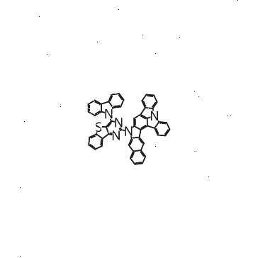 c1ccc2cc3c(cc2c1)c1c2c4ccccc4n4c5ccccc5c(cc1n3-c1nc(-n3c5ccccc5c5ccccc53)c3sc5ccccc5c3n1)c24